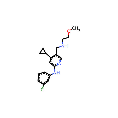 COCCNCc1cnc(Nc2cccc(Cl)c2)cc1C1CC1